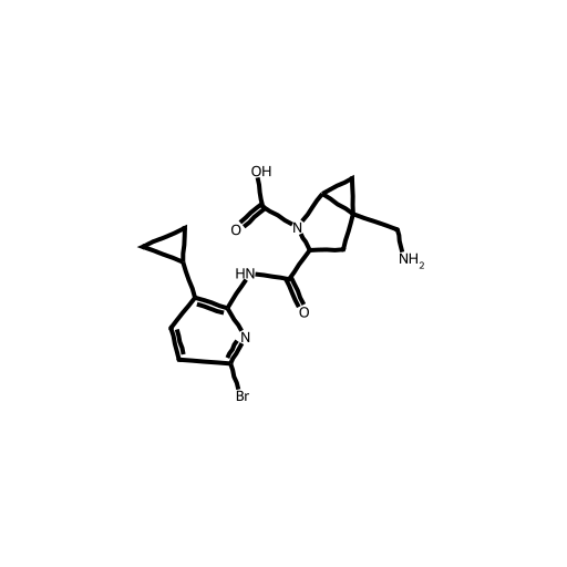 NCC12CC(C(=O)Nc3nc(Br)ccc3C3CC3)N(C(=O)O)C1C2